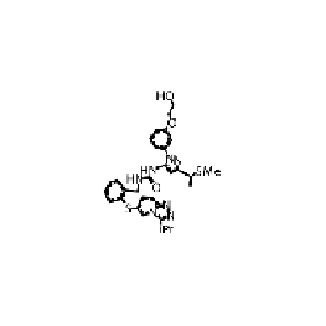 CSC(C)c1cc(NC(=O)NCc2ccccc2Sc2ccc3nnc(C(C)C)n3c2)n(-c2cccc(OCCO)c2)n1